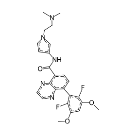 COc1cc(OC)c(F)c(-c2ccc(C(=O)Nc3ccn(CCN(C)C)c3)c3nccnc23)c1F